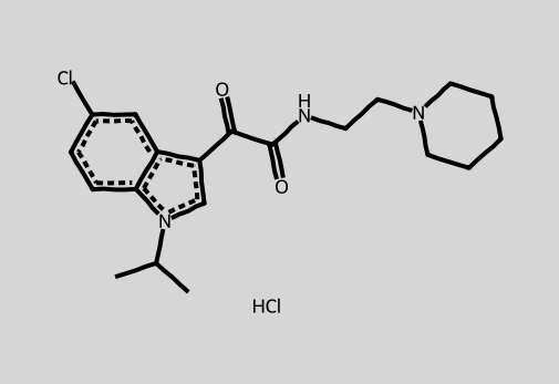 CC(C)n1cc(C(=O)C(=O)NCCN2CCCCC2)c2cc(Cl)ccc21.Cl